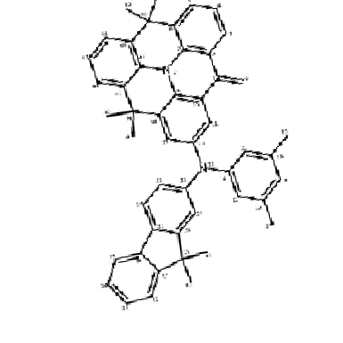 C=C1c2cccc3c2N2c4c1cc(N(c1cc(C)cc(C)c1)c1ccc5c(c1)C(C)(C)c1ccccc1-5)cc4C(C)(C)c1cccc(c12)C3(C)C